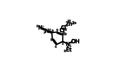 CCN(O)C1C=CC(=[N+]=[N-])C=C1.[Cl-].[Cl-].[Zn+2]